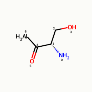 N[C@@H](CO)[C](=O)[AlH2]